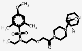 CCN(CCOCC(=O)N1CCN([C@@H]2CN3CCC2CC3)CC1)S(=O)(=O)c1c(C)cc(OC)cc1C